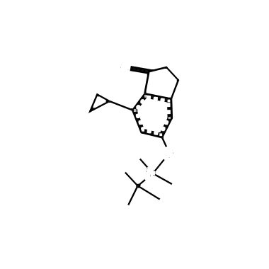 CC(C)(C)[Si](C)(C)Oc1cc2c(c(C3CC3)c1)C(=O)CC2